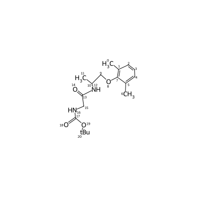 Cc1cccc(C)c1OCC(C)NC(=O)CNC(=O)OC(C)(C)C